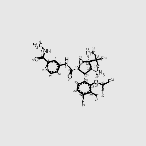 CNC(=O)c1cc(NC(=O)[C@@H]2O[C@@](C)(C(F)(F)F)[C@H](C)[C@@H]2c2ccc(F)c(F)c2OC(F)F)ccn1